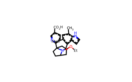 CCOC1CC2CCC(c3ccc(C(=O)O)cn3)(C1)N2Cc1c(OC)cc(C)c2[nH]ccc12